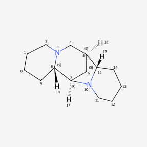 C1CCN2C[C@@H]3C[C@H]([C@@H]2C1)N1CCCC[C@@H]31